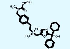 CN(Cc1ccc(CC[N+](C)(C)Cc2cnc([C@](O)(c3ccccc3)C3CCCCC3)o2)cc1)C(=O)OC(C)(C)C